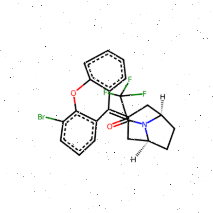 O=C(N1[C@@H]2CC[C@H]1C/C(=C1/c3ccccc3Oc3c(Br)cccc31)C2)C(F)(F)F